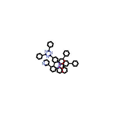 c1ccc(-c2ccc3c(c2)c2ccccc2n3-c2ccc(-c3nc(-c4ccccc4)nc(-c4ccccc4)n3)cc2-c2c(-c3cccnc3)cccc2-n2c3ccccc3c3cc(-c4ccccc4)ccc32)cc1